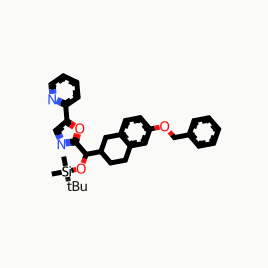 CC(C)(C)[Si](C)(C)OC(c1ncc(-c2ccccn2)o1)C1CCc2cc(OCc3ccccc3)ccc2C1